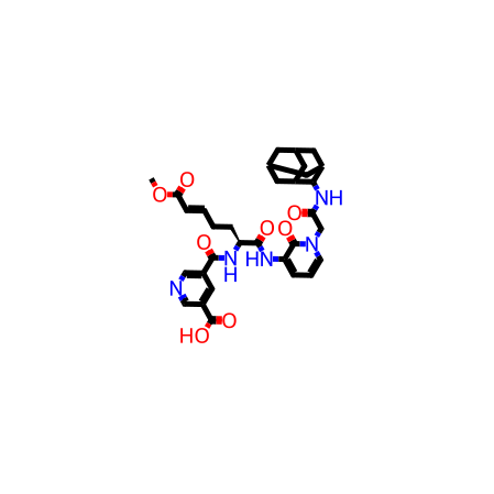 COC(=O)/C=C/CC[C@H](NC(=O)c1cncc(C(=O)O)c1)C(=O)Nc1cccn(CC(=O)NC2C3CC4CC(C3)CC2C4)c1=O